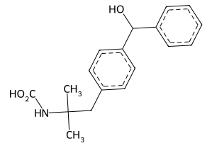 CC(C)(Cc1ccc(C(O)c2ccccc2)cc1)NC(=O)O